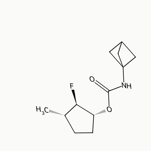 C[C@H]1CC[C@@H](OC(=O)NC23CC(C2)C3)[C@@H]1F